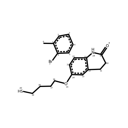 Cc1ccccc1Br.O=C1CCc2cc(OCCCCS)ccc2N1